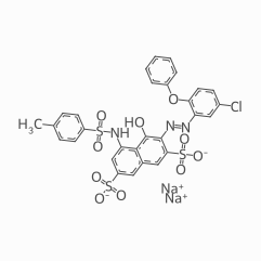 Cc1ccc(S(=O)(=O)Nc2cc(S(=O)(=O)[O-])cc3cc(S(=O)(=O)[O-])c(N=Nc4cc(Cl)ccc4Oc4ccccc4)c(O)c23)cc1.[Na+].[Na+]